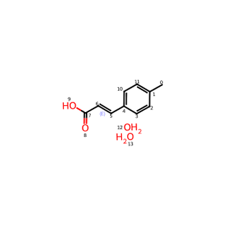 Cc1ccc(/C=C/C(=O)O)cc1.O.O